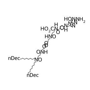 CCCCCCCCCCCCCCCCCCN(CCCCCCCCCCCCCCCCCC)C(=O)CCC(=O)NCCOOOCCCNC(=O)CC[C@H](NC(=O)c1ccc(NCc2cnc3nc(N)nc(O)c3n2)cc1)C(=O)O